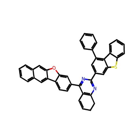 C1=Cc2c(nc(-c3cc(-c4ccccc4)c4c(c3)sc3ccccc34)nc2-c2ccc3c(c2)oc2cc4ccccc4cc23)CC1